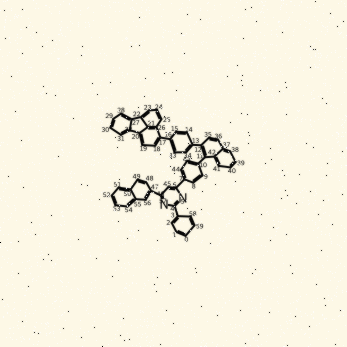 c1ccc(-c2nc(-c3ccc(-c4c(-c5ccc(-c6ccc7c8c(cccc68)-c6ccccc6-7)cc5)ccc5ccccc45)cc3)cc(-c3ccc4ccccc4c3)n2)cc1